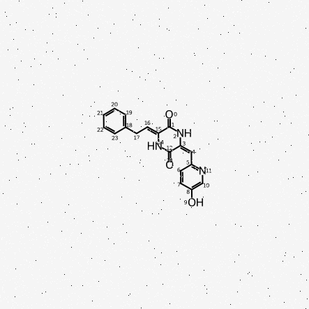 O=c1[nH]/c(=C/c2ccc(O)cn2)c(=O)[nH]/c1=C\Cc1ccccc1